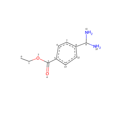 CCOC(=O)c1ccc(C(N)N)cc1